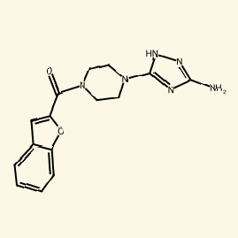 Nc1n[nH]c(N2CCN(C(=O)c3cc4ccccc4o3)CC2)n1